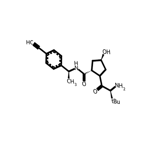 C#Cc1ccc([C@H](C)NC(=O)[C@@H]2C[C@@H](O)CC2C(=O)[C@@H](N)C(C)(C)C)cc1